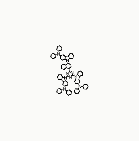 c1ccc(N(c2ccccc2)c2ccc3c(c2)c2ccccc2n3-c2nc(-c3ccc(-n4c5ccccc5c5cc(N(c6ccccc6)c6ccccc6)ccc54)c4ccccc34)nc(-n3c4ccccc4c4cc(N(c5ccccc5)c5ccccc5)ccc43)n2)cc1